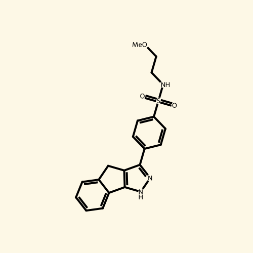 COCCNS(=O)(=O)c1ccc(-c2n[nH]c3c2Cc2ccccc2-3)cc1